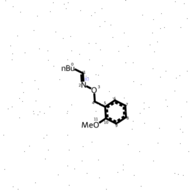 CCCC/[C]=N/OCc1ccccc1OC